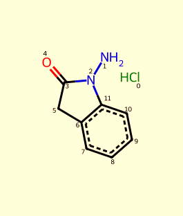 Cl.NN1C(=O)Cc2ccccc21